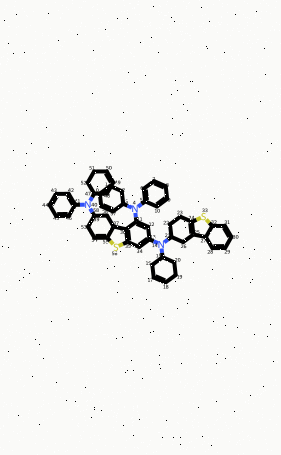 C1=CCC(N(c2ccccc2)c2cc(N(C3CC=CCC3)C3CCC4=C(C3)C3C=CC=CC3S4)cc3c2C2CC(N(c4ccccc4)C4CC=CCC4)CC=C2S3)C=C1